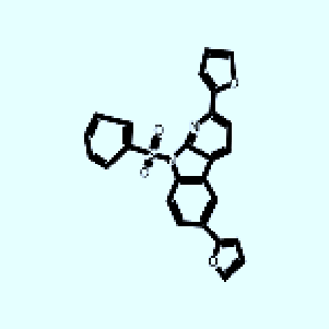 O=S(=O)(c1ccccc1)n1c2ccc(-c3ccco3)cc2c2ccc(-c3ccco3)nc21